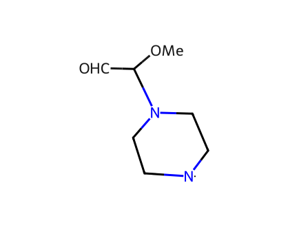 COC(C=O)N1CC[N]CC1